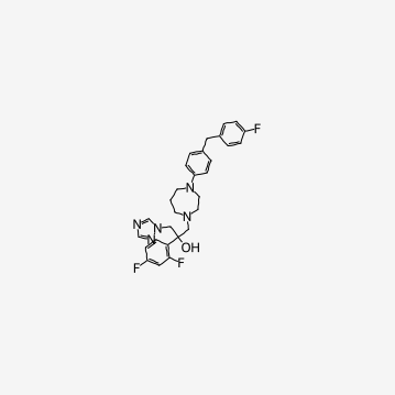 OC(CN1CCCN(c2ccc(Cc3ccc(F)cc3)cc2)CC1)(Cn1cncn1)c1ccc(F)cc1F